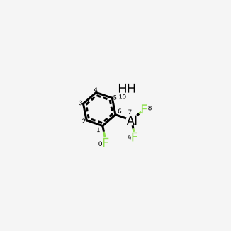 Fc1cccc[c]1[Al]([F])[F].[HH]